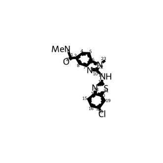 CNC(=O)c1ccc2c(c1)nc(Nc1nc3ccc(Cl)cc3s1)n2C